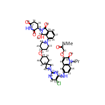 CNC(=O)COc1cc2cc(Nc3nc(N4CC5(CCC(OC6CCN(c7cccc8c7C(O)N(C7CCC(=O)NC7=O)C8=O)CC6)CC5)C4)ncc3Cl)ccc2n(C(C)C)c1=O